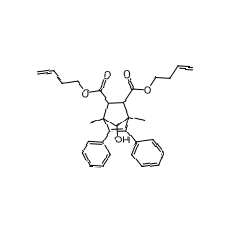 C=CCCOC(=O)C1C(C(=O)OCCC=C)C2(C)C(c3ccccc3)=C(c3ccccc3)C1(C)C2O